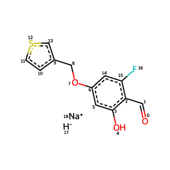 O=Cc1c(O)cc(OCc2ccsc2)cc1F.[H-].[Na+]